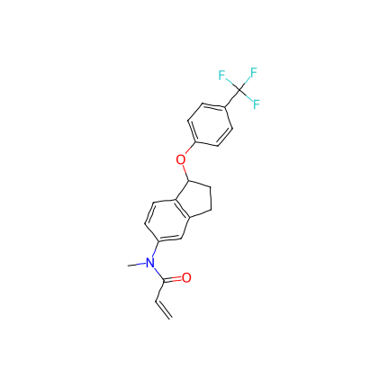 C=CC(=O)N(C)c1ccc2c(c1)CCC2Oc1ccc(C(F)(F)F)cc1